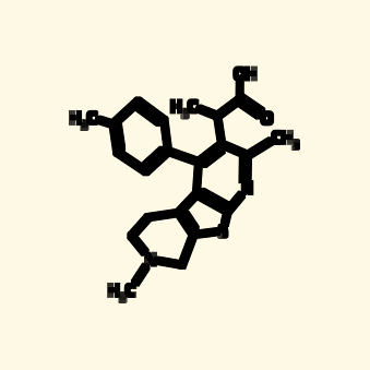 Cc1ccc(-c2c(C(C)C(=O)O)c(C)nc3sc4c(c23)CCN(C)C4)cc1